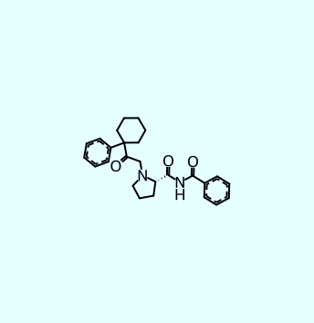 O=C(NC(=O)[C@@H]1CCCN1CC(=O)C1(c2ccccc2)CCCCC1)c1ccccc1